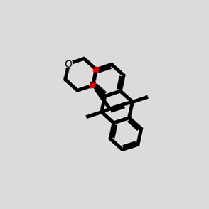 CC12C=C(N3CCOCC3)C(C)(c3ccccc31)c1ccccc12